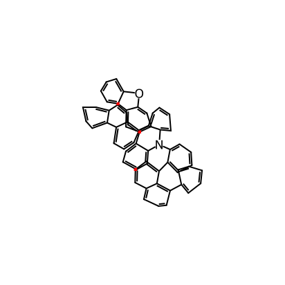 c1ccc(-c2cccc3cccc(-c4ccccc4N(c4ccccc4-c4ccc5oc6ccccc6c5c4)c4ccccc4-c4cccc5c4ccc4ccccc45)c23)cc1